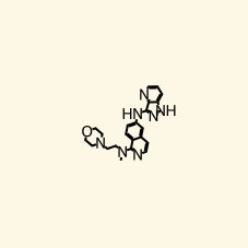 CN(CCN1CCOCC1)c1nccc2cc(Nc3n[nH]c4cccnc34)ccc12